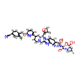 C[C@H]1C[C@@H](C(=O)O)N(C(=O)CNC(=O)c2ccc3c(c2)nc(CN2CCC(c4cccc(OCc5ccc(C#N)cc5F)n4)CC2)n3C[C@@H]2CCO2)C1